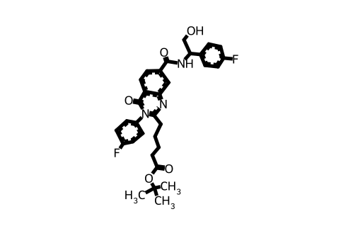 CC(C)(C)OC(=O)CCCCc1nc2cc(C(=O)NC(CO)c3ccc(F)cc3)ccc2c(=O)n1-c1ccc(F)cc1